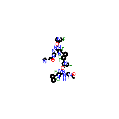 C=CC(=O)N1CC[C@@H](Nc2nc(OC[C@@]34CCC(c5cc6cccc(-c7ncc8c(N(C)[C@@H]9CCN(C(=O)/C=C/[C@H]%10CCN%10C)C9)nc(OCC9%10CCCN9C[C@H](F)C%10)nc8c7F)c6c(F)c5F)N3C[C@H](F)C4)nc3c(F)c(-c4cccc5cccc(Cl)c45)ncc23)[C@H]1C